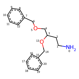 NCCC(COCc1ccccc1)OCc1ccccc1